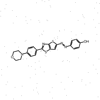 Oc1ccc(N=Nc2cc3sc(-c4ccc(N5CCOCC5)cc4)nc3s2)cc1